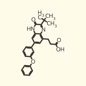 CC(C)(C)c1nc2c(CCC(=O)O)cc(-c3cccc(Oc4ccccc4)c3)cc2[nH]c1=O